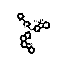 CC1(C)c2ccccc2-c2ccc(N(c3ccc4c(ccc5ccc6c7ccccc7oc6c54)c3)c3ccc(-c4ccccc4)cn3)cc21